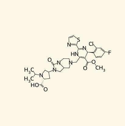 COC(=O)C1=C(CN2CCN3C(=O)N(C4C[C@H](C(=O)O)N(C(C)C)C4)CC3C2)NC(c2nccs2)=N[C@H]1c1ccc(F)cc1Cl